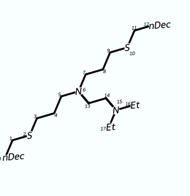 CCCCCCCCCCCSCCCN(CCCSCCCCCCCCCCC)CCN(CC)CC